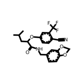 CC(C)CC(Oc1ccc(C#N)c(C(F)(F)F)c1)C(=O)NCc1ccc2c(c1)OCO2